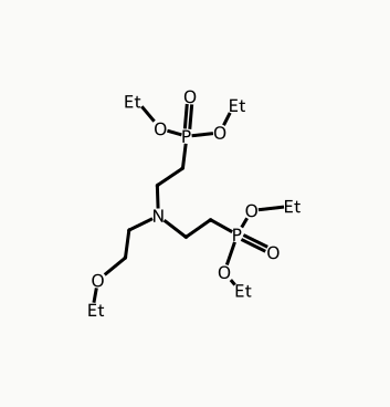 CCOCCN(CCP(=O)(OCC)OCC)CCP(=O)(OCC)OCC